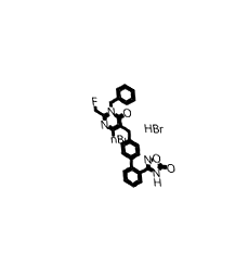 Br.CCCCc1nc(CF)n(Cc2ccccc2)c(=O)c1Cc1ccc(-c2ccccc2-c2noc(=O)[nH]2)cc1